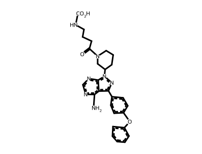 Nc1ncnc2c1c(-c1ccc(Oc3ccccc3)cc1)nn2C1CCCN(C(=O)CCCNC(=O)O)C1